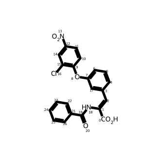 O=C(O)C(=Cc1cccc(Oc2ccc([N+](=O)[O-])cc2Cl)c1)NC(=O)c1ccccc1